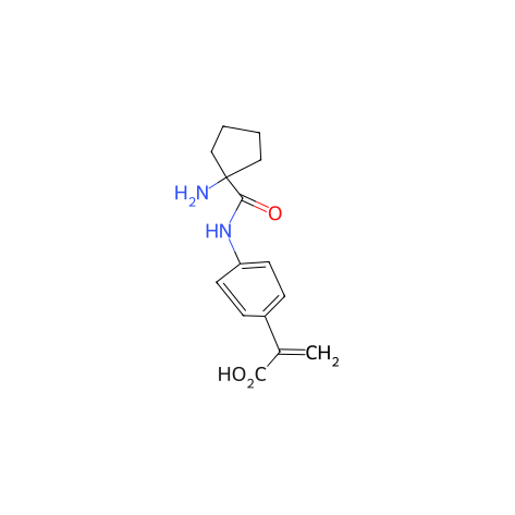 C=C(C(=O)O)c1ccc(NC(=O)C2(N)CCCC2)cc1